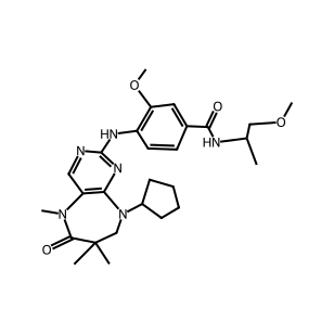 COCC(C)NC(=O)c1ccc(Nc2ncc3c(n2)N(C2CCCC2)CC(C)(C)C(=O)N3C)c(OC)c1